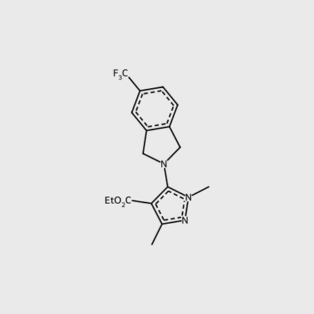 CCOC(=O)c1c(C)nn(C)c1N1Cc2ccc(C(F)(F)F)cc2C1